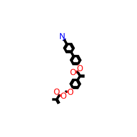 C=C(C)C(=O)OCOc1ccc(C(=C)C(=O)Oc2ccc(-c3ccc(C#N)cc3)cc2)cc1